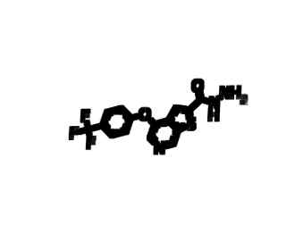 NNC(=O)c1cc2c(Oc3ccc(C(F)(F)F)cc3)cncc2s1